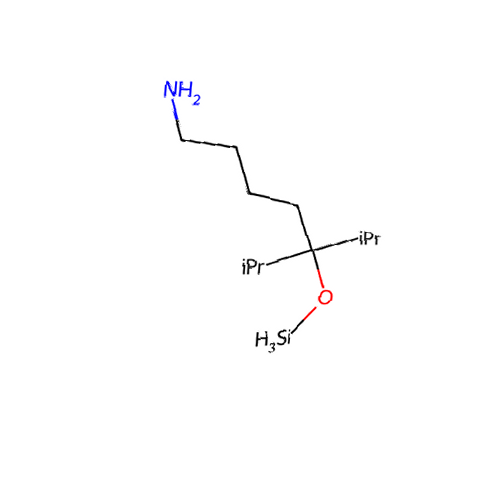 CC(C)C(CCCCN)(O[SiH3])C(C)C